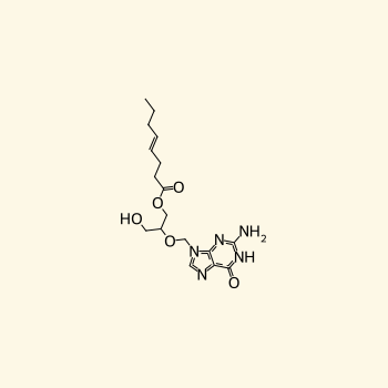 CCCC=CCCC(=O)OCC(CO)OCn1cnc2c(=O)[nH]c(N)nc21